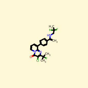 C=C(NCC(C)(F)F)c1ccc(-c2cccn3c(=O)c(Cl)c(C(C)(C)F)nc23)cc1